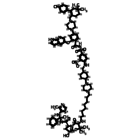 Cc1ncsc1N[C@](C)(NC(=O)[C@@H]1C[C@@H](O)CN1C(=O)C(NCCCCCCCCN1CCN(C2CCC(CNc3ccc(S(=O)(=O)NC(=O)c4ccc(N5CCN(CC6=C(c7ccc(Cl)cc7)CC(C)(C)CC6)CC5)cc4Oc4cnc5[nH]ccc5c4)cc3[N+](=O)[O-])CC2)CC1)C(C)(C)C)c1ccccc1